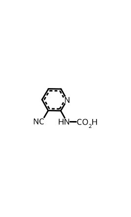 N#Cc1cccnc1NC(=O)O